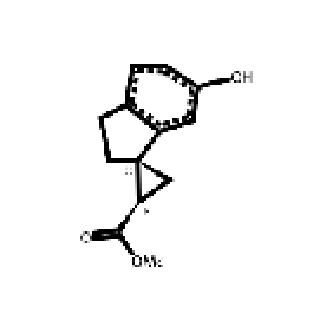 COC(=O)[C@@H]1C[C@]12CCc1ccc(O)cc12